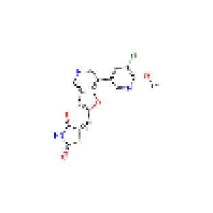 CCOc1ncc(-c2cncc3cc(/C=C4/SC(=O)NC4=O)oc23)cc1Cl